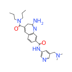 CCCN(CCC)C(=O)C1=Cc2ccc(C(=O)Nc3cncc(CN(C)C)c3)cc2N=C(N)C1